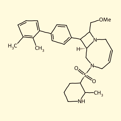 COCC1C(c2ccc(-c3cccc(C)c3C)cc2)[C@@H]2CN(S(=O)(=O)C3CCCNC3C)C/C=C\CN12